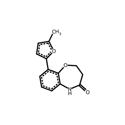 Cc1ccc(-c2cccc3c2OCCC(=O)N3)o1